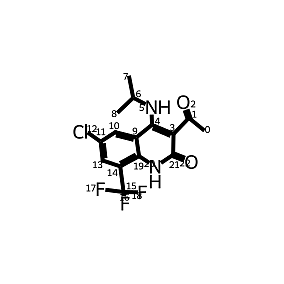 CC(=O)c1c(NC(C)C)c2cc(Cl)cc(C(F)(F)F)c2[nH]c1=O